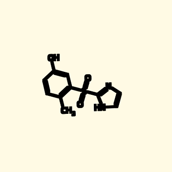 Cc1ccc(O)cc1S(=O)(=O)c1ncc[nH]1